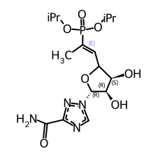 C/C(=C\C1O[C@@H](n2cnc(C(N)=O)n2)[C@H](O)[C@@H]1O)P(=O)(OC(C)C)OC(C)C